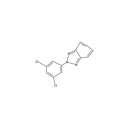 Clc1[c]c(Cl)cc(-n2nc3ccccc3n2)c1